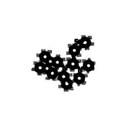 c1ccc(N(c2ccccc2)c2cc(-c3ccc4sc5ccccc5c4c3)cc(N(c3ccc4c(c3)C3(c5ccccc5-c5ccccc53)c3ccccc3-4)c3ccc4ccccc4c3)c2)cc1